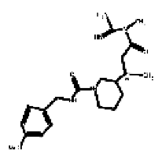 COc1ccc(CNC(=O)N2CCCC([C@H](C)CC(=O)N(C)C(=N)N)C2)cc1